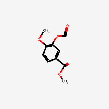 COC(=O)c1ccc(OC)c(OC=O)c1